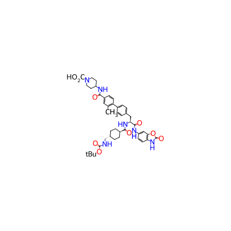 Cc1cc(C(=O)NC2CCN(C(=O)O)CC2)ccc1-c1ccc(C[C@H](NC(=O)[C@H]2CC[C@H](CNC(=O)OC(C)(C)C)CC2)C(=O)Nc2ccc3[nH]c(=O)oc3c2)cc1